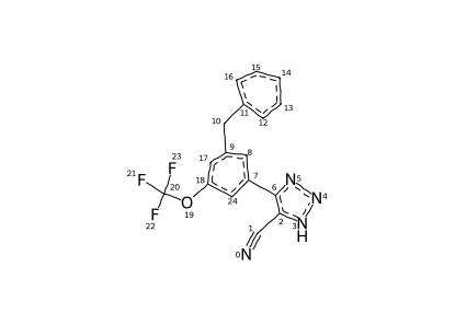 N#Cc1[nH]nnc1-c1cc(Cc2ccccc2)cc(OC(F)(F)F)c1